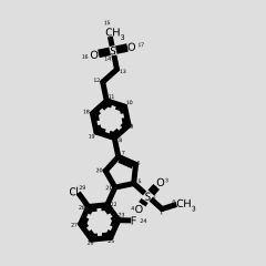 CCS(=O)(=O)C1C=C(c2ccc(CCS(C)(=O)=O)cc2)CC1c1c(F)cccc1Cl